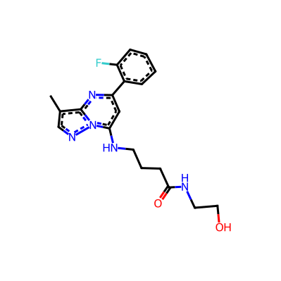 Cc1cnn2c(NCCCC(=O)NCCO)cc(-c3ccccc3F)nc12